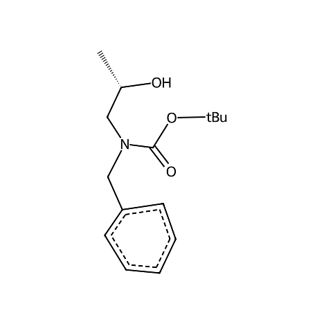 C[C@H](O)CN(Cc1ccccc1)C(=O)OC(C)(C)C